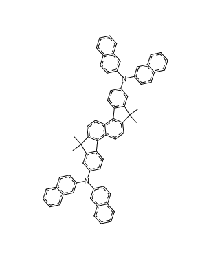 CC1(C)c2cc(N(c3ccc4ccccc4c3)c3ccc4ccccc4c3)ccc2-c2c1ccc1c3c(ccc21)C(C)(C)c1cc(N(c2ccc4ccccc4c2)c2ccc4ccccc4c2)ccc1-3